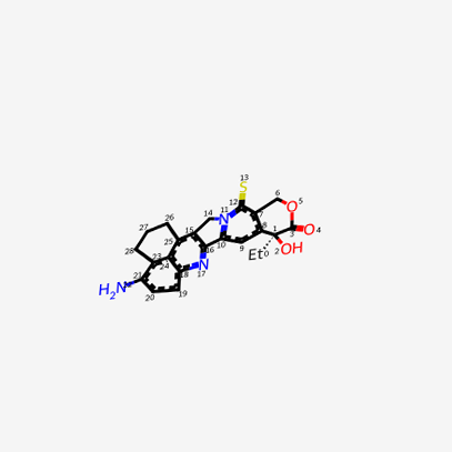 CC[C@@]1(O)C(=O)OCc2c1cc1n(c2=S)Cc2c-1nc1ccc(N)c3c1c2CCC3